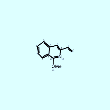 C=Cc1cc2ccccc2c(OC)n1